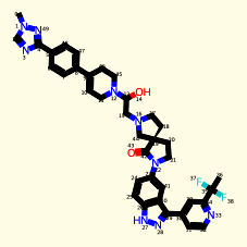 Cn1cnc(-c2ccc(C3=CCN(C(O)CN4CC[C@]5(CCN(c6ccc7[nH]nc(-c8ccnc(C(C)(F)F)c8)c7c6)C5=O)C4)CC3)cc2)n1